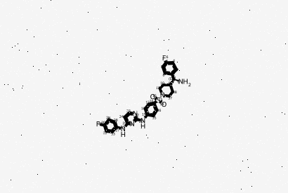 N[C@H](c1ccc(F)cc1)C1CCN(S(=O)(=O)c2ccc(Nc3nccc(Nc4ccc(F)cc4)n3)cc2)CC1